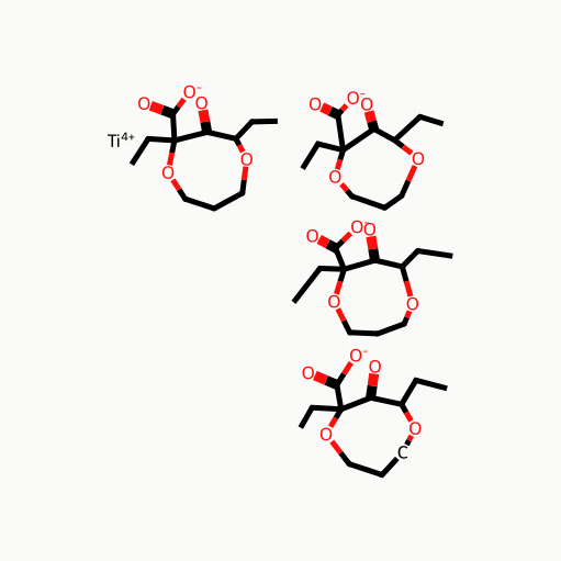 CCC1OCCCOC(CC)(C(=O)[O-])C1=O.CCC1OCCCOC(CC)(C(=O)[O-])C1=O.CCC1OCCCOC(CC)(C(=O)[O-])C1=O.CCC1OCCCOC(CC)(C(=O)[O-])C1=O.[Ti+4]